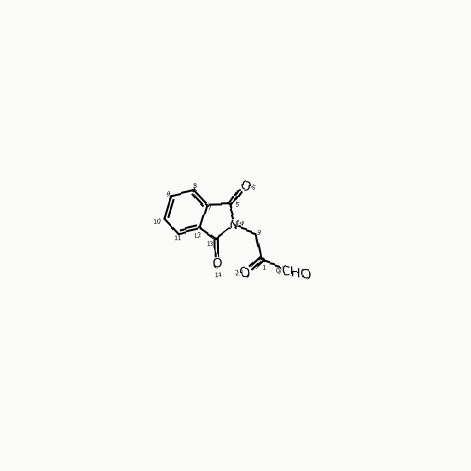 O=CC(=O)CN1C(=O)c2ccccc2C1=O